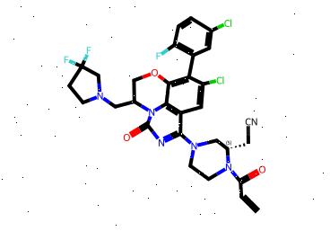 C=CC(=O)N1CCN(c2nc(=O)n3c4c(c(-c5cc(Cl)ccc5F)c(Cl)cc24)OCC3CN2CCC(F)(F)C2)C[C@@H]1CC#N